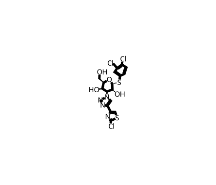 OC[C@H]1O[C@H](Sc2ccc(Cl)c(Cl)c2)[C@H](O)[C@@H](n2cc(-c3csc(Cl)n3)nn2)[C@H]1O